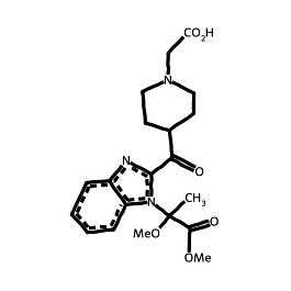 COC(=O)C(C)(OC)n1c(C(=O)C2CCN(CC(=O)O)CC2)nc2ccccc21